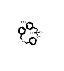 Cl.O[PH](O)(O)Cc1ccccc1.c1ccc([CH2][Cu][CH2]c2ccccc2)cc1